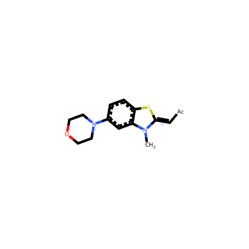 CC(=O)/C=C1\Sc2ccc(N3CCOCC3)cc2N1C